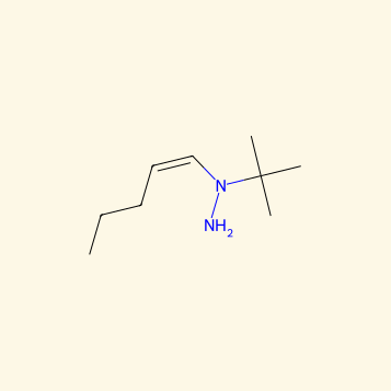 CCC/C=C\N(N)C(C)(C)C